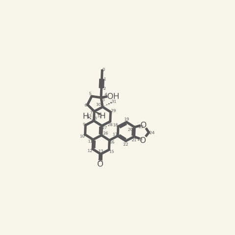 CC#CC1(O)CC[C@H]2[C@@H]3CCC4=CC(=O)CC(c5ccc6c(c5)OCO6)C4=C3CC[C@@]21C